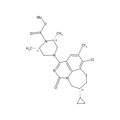 C[C@@H]1CN(c2nc(=O)n3c4c(c(Cl)c(C(F)(F)F)cc24)SC[C@H](C2CC2)C3)C[C@H](C)N1C(=O)OC(C)(C)C